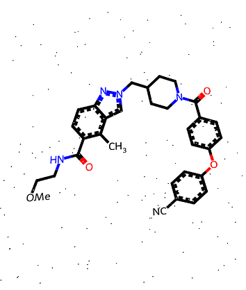 COCCNC(=O)c1ccc2nn(CC3CCN(C(=O)c4ccc(Oc5ccc(C#N)cc5)cc4)CC3)cc2c1C